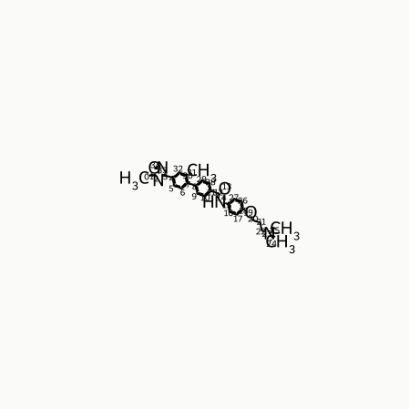 Cc1nc(-c2ccc(-c3ccc(C(=O)Nc4ccc(OCCCN(C)C)cc4)cc3)c(C)c2)no1